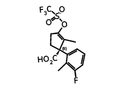 CC1=C(OS(=O)(=O)C(F)(F)F)CC[C@@]1(C(=O)O)c1cccc(F)c1C